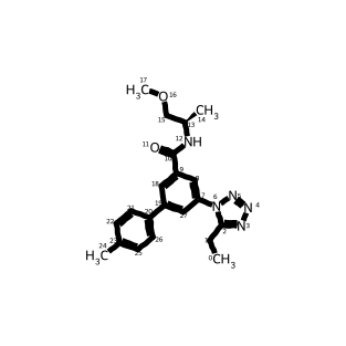 CCc1nnnn1-c1cc(C(=O)N[C@H](C)COC)cc(-c2ccc(C)cc2)c1